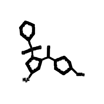 COc1ccc(C(=O)c2cc(C)cn2S(=O)(=O)c2ccccc2)cc1